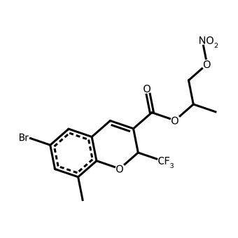 Cc1cc(Br)cc2c1OC(C(F)(F)F)C(C(=O)OC(C)CO[N+](=O)[O-])=C2